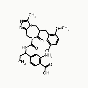 CCC(NC(=O)N1Cc2nnc(C)n2CC(Cc2cc(Cl)ccc2OC)C1=O)c1ccc(C(=O)O)c(N)c1